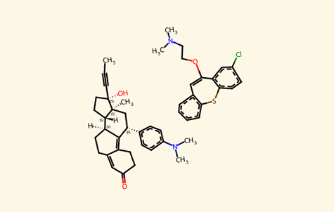 CC#C[C@]1(O)CC[C@H]2[C@@H]3CCC4=CC(=O)CCC4=C3[C@@H](c3ccc(N(C)C)cc3)C[C@@]21C.CN(C)CCOC1=Cc2ccccc2Sc2ccc(Cl)cc21